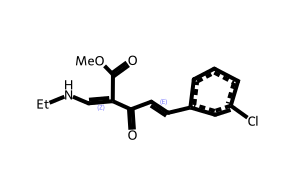 CCN/C=C(/C(=O)/C=C/c1cccc(Cl)c1)C(=O)OC